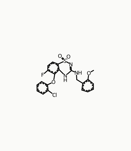 COc1ccccc1CNC1=NS(=O)(=O)c2ccc(F)c(Oc3ccccc3Cl)c2N1